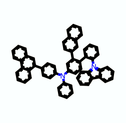 c1ccc(N(c2ccc(-c3cc4ccccc4c4ccccc34)cc2)c2ccc(-c3ccccc3-n3c4ccccc4c4ccccc43)c(-c3ccc4ccccc4c3)c2)cc1